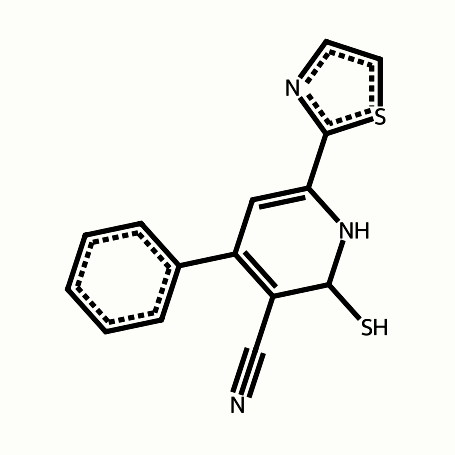 N#CC1=C(c2ccccc2)C=C(c2nccs2)NC1S